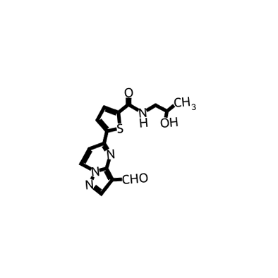 CC(O)CNC(=O)c1ccc(-c2ccn3ncc(C=O)c3n2)s1